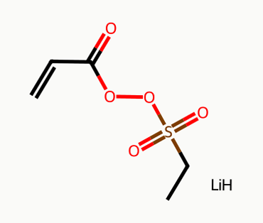 C=CC(=O)OOS(=O)(=O)CC.[LiH]